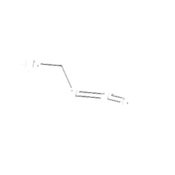 [N-]=[N+]=NCN